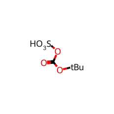 CC(C)(C)OC(=O)OS(=O)(=O)O